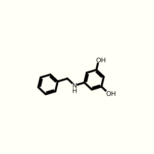 Oc1cc(O)cc(NCc2ccccc2)c1